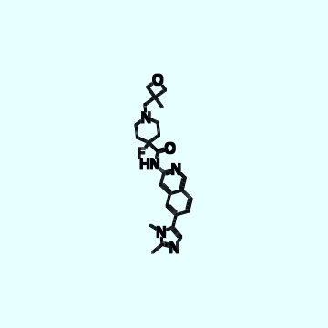 Cc1ncc(-c2ccc3cnc(NC(=O)C4(F)CCN(CC5(C)COC5)CC4)cc3c2)n1C